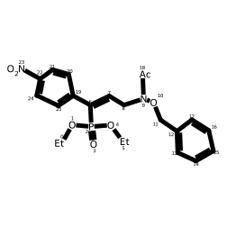 CCOP(=O)(OCC)C(=CCN(OCc1ccccc1)C(C)=O)c1ccc([N+](=O)[O-])cc1